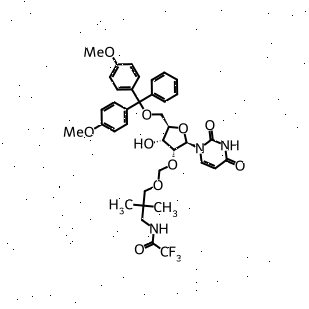 COc1ccc(C(OC[C@H]2O[C@@H](n3ccc(=O)[nH]c3=O)[C@H](OCOCC(C)(C)CNC(=O)C(F)(F)F)[C@@H]2O)(c2ccccc2)c2ccc(OC)cc2)cc1